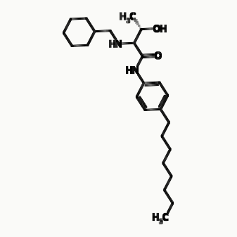 CCCCCCCCc1ccc(NC(=O)C(NCC2CCCCC2)[C@H](C)O)cc1